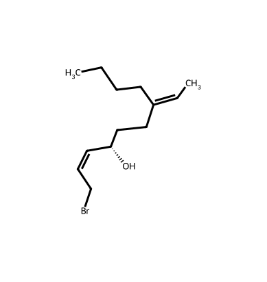 C/C=C(\CCCC)CC[C@H](O)/C=C\CBr